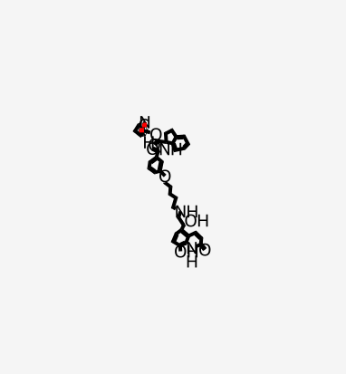 O=C(NC1(C(=O)O[C@H]2CN3CCC2CC3)CCc2ccccc21)c1cccc(OCCCCCNCC(O)c2ccc(O)c3[nH]c(=O)ccc23)c1